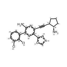 Nc1nc(C#CC2CCC[C@H]2N)c(-c2nnco2)nc1-c1cccc(Cl)c1Cl